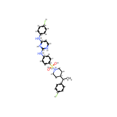 CC(c1ccc(F)cc1)C1CCN(S(=O)(=O)c2ccc(Nc3nccc(Nc4ccc(F)cc4)n3)cc2)CC1